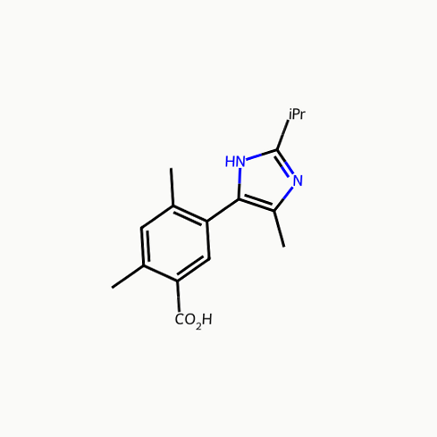 Cc1cc(C)c(-c2[nH]c(C(C)C)nc2C)cc1C(=O)O